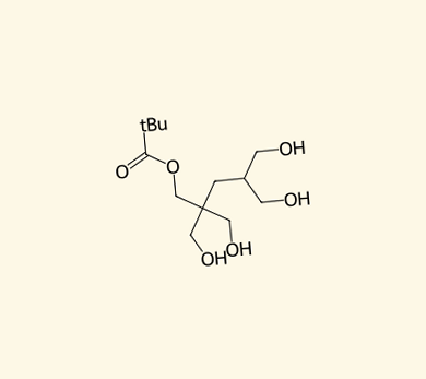 CC(C)(C)C(=O)OCC(CO)(CO)CC(CO)CO